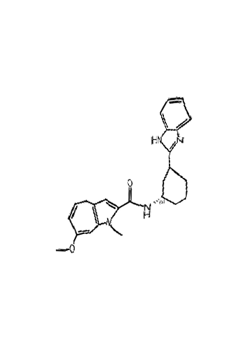 COc1ccc2cc(C(=O)N[C@H]3CCCC(c4nc5ccccc5[nH]4)C3)n(C)c2c1